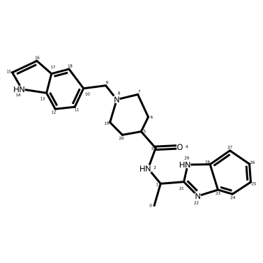 CC(NC(=O)C1CCN(Cc2ccc3[nH]ccc3c2)CC1)c1nc2ccccc2[nH]1